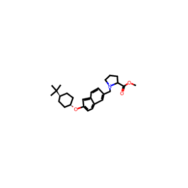 COC(=O)C1CCCN1Cc1ccc2cc(O[C@H]3CC[C@H](C(C)(C)C)CC3)ccc2c1